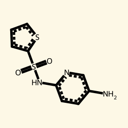 Nc1ccc(NS(=O)(=O)c2cccs2)nc1